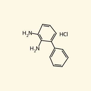 Cl.Nc1cccc(-c2ccccc2)c1N